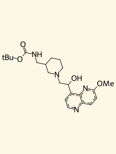 COc1ccc2nccc(C(O)CN3CCCC(CNC(=O)OC(C)(C)C)C3)c2n1